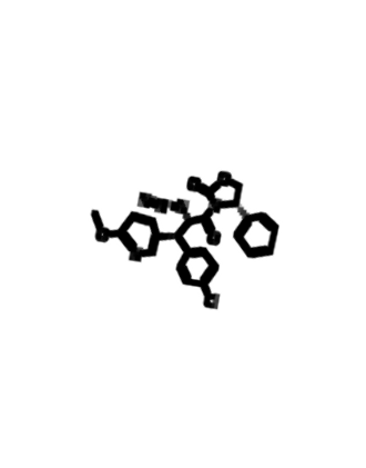 COc1ccc([C@H](c2ccc(Cl)cc2)[C@H](N=[N+]=[N-])C(=O)N2C(=O)OC[C@@H]2c2ccccc2)cn1